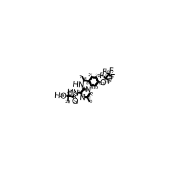 Cc1cnc(NC(C)c2ccc(OC(F)(F)C(F)(F)F)cc2)c(NC(=O)C(C)(C)O)n1